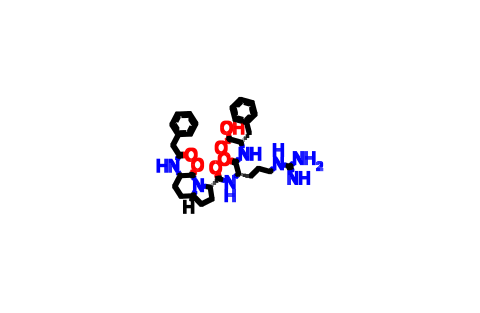 N=C(N)NCCC[C@H](NC(=O)[C@@H]1CC[C@@H]2CCC(NC(=O)Cc3ccccc3)C(=O)N21)C(=O)N[C@@H](Cc1ccccc1)C(=O)O